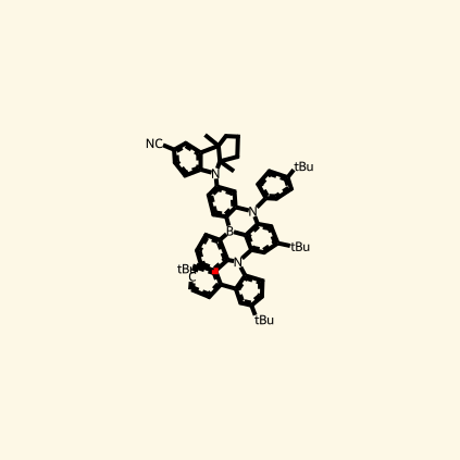 CC(C)(C)c1ccc(N2c3cc(N4c5ccc(C#N)cc5C5(C)CCCC45C)ccc3B3c4ccc(C(C)(C)C)cc4N(c4ccc(C(C)(C)C)cc4-c4ccccc4)c4cc(C(C)(C)C)cc2c43)cc1